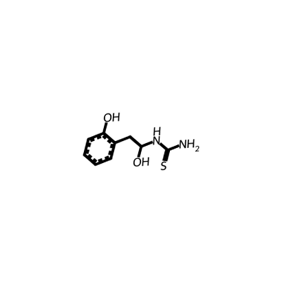 NC(=S)NC(O)Cc1ccccc1O